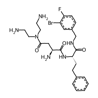 NCCN(CCN)C(=O)C[C@H](N)C(=O)N[C@@H](CCc1ccccc1)C(=O)NCc1ccc(F)c(Br)c1